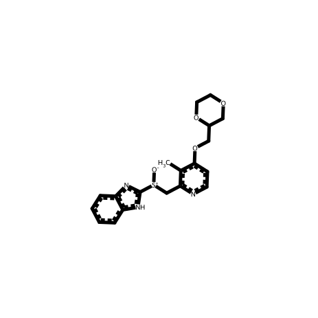 Cc1c(OCC2COCCO2)ccnc1C[S+]([O-])c1nc2ccccc2[nH]1